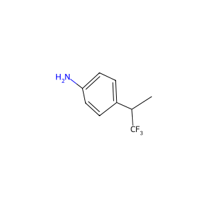 CC(c1ccc(N)cc1)C(F)(F)F